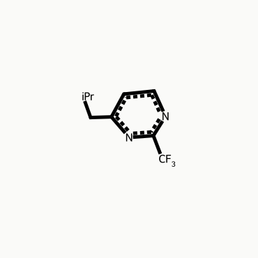 CC(C)Cc1ccnc(C(F)(F)F)n1